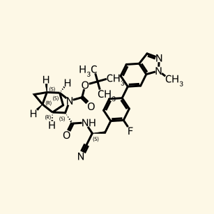 Cn1ncc2ccc(-c3ccc(C[C@@H](C#N)NC(=O)[C@@H]4[C@@H]5C[C@@H]([C@H]6C[C@@H]56)N4C(=O)OC(C)(C)C)c(F)c3)cc21